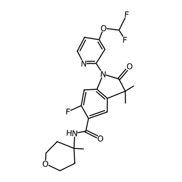 CC1(NC(=O)c2cc3c(cc2F)N(c2cc(OC(F)F)ccn2)C(=O)C3(C)C)CCOCC1